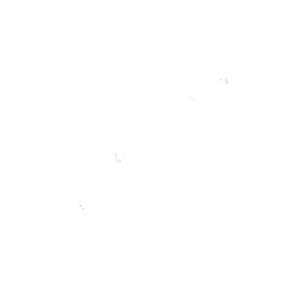 CN1CCN(c2ccc(C(=O)Nc3cccc4ncccc34)cc2)CC1